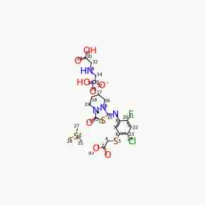 COC(=O)CSc1cc(/N=c2\sc(=O)n3n2CCCC3)c(F)cc1Cl.C[S+](C)C.O=C(O)CNCP(=O)([O-])O